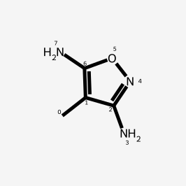 Cc1c(N)noc1N